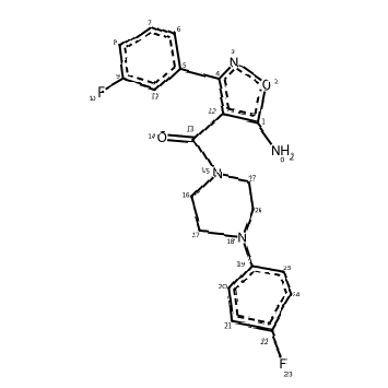 Nc1onc(-c2cccc(F)c2)c1C(=O)N1CCN(c2ccc(F)cc2)CC1